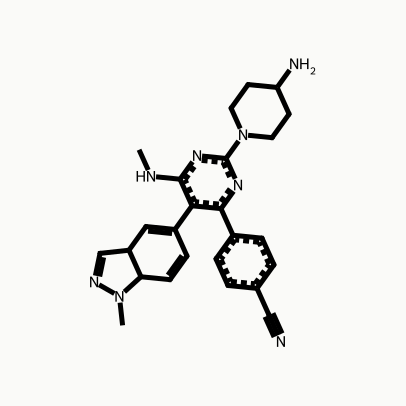 CNc1nc(N2CCC(N)CC2)nc(-c2ccc(C#N)cc2)c1C1=CC2C=NN(C)C2C=C1